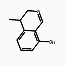 CC1CN=Cc2c(O)cccc21